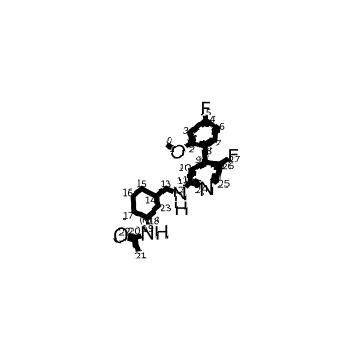 COc1cc(F)ccc1-c1cc(NCC2CCC[C@@H](NC(C)=O)C2)ncc1F